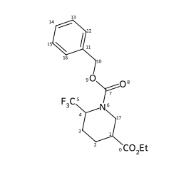 CCOC(=O)C1CCC(C(F)(F)F)N(C(=O)OCc2ccccc2)C1